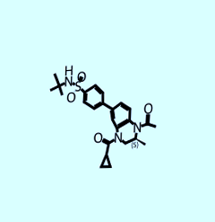 CC(=O)N1c2ccc(-c3ccc(S(=O)(=O)NC(C)(C)C)cc3)cc2N(C(=O)C2CC2)C[C@@H]1C